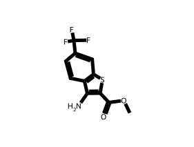 COC(=O)c1sc2cc(C(F)(F)F)ccc2c1N